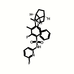 Cc1c(N(C)[C@@H]2[C@@H]3CC[C@H]2CN(Cc2ccccc2)C3)cnc(S(=O)(=O)Nc2cccc(F)n2)c1F